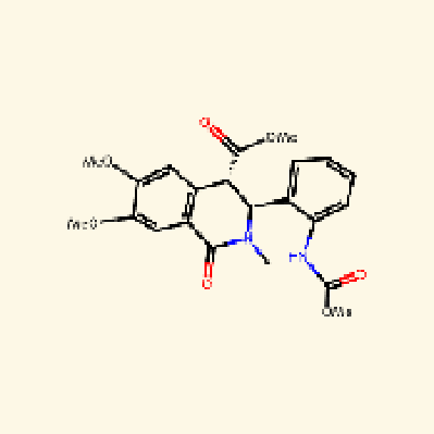 COC(=O)Nc1ccccc1[C@@H]1[C@@H](C(=O)OC)c2cc(OC)c(OC)cc2C(=O)N1C